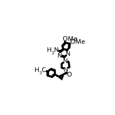 COc1cc2nc(N3CCN(C(=O)C4CC4c4ccc(C)cc4)CC3)nc(N)c2cc1OC